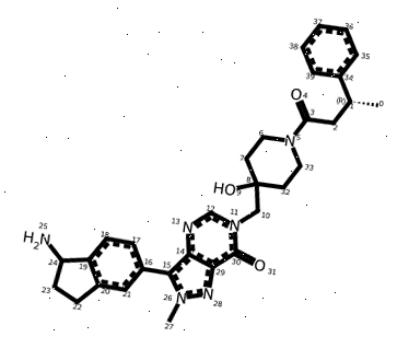 C[C@H](CC(=O)N1CCC(O)(Cn2cnc3c(-c4ccc5c(c4)CCC5N)n(C)nc3c2=O)CC1)c1ccccc1